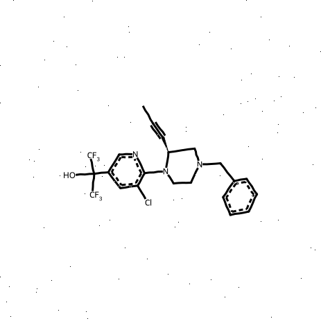 CC#C[C@H]1CN(Cc2ccccc2)CCN1c1ncc(C(O)(C(F)(F)F)C(F)(F)F)cc1Cl